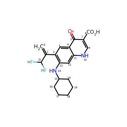 C=C(c1cc2c(=O)c(C(=O)O)c[nH]c2cc1NC1CCCCC1)C(F)F